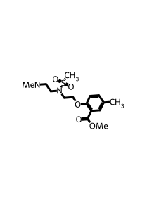 CNCCN(CCOc1ccc(C)cc1C(=O)OC)S(C)(=O)=O